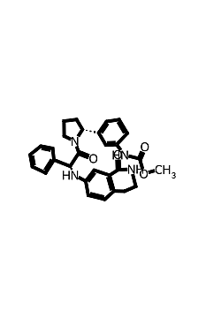 COC(=O)Nc1cccc([C@H]2CCCN2C(=O)[C@H](Nc2ccc3c(c2)C(=O)NCC3)c2ccccc2)c1